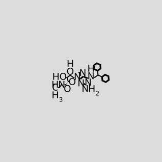 CCNC(=O)[C@H]1O[C@@H](n2cnc3c(NCC(c4ccccc4)c4ccccc4)nc(N)nc32)[C@H](O)[C@@H]1O